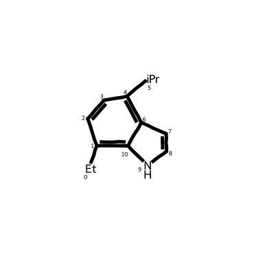 CCc1ccc(C(C)C)c2cc[nH]c12